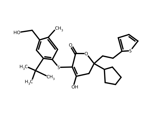 Cc1cc(SC2=C(O)CC(CCc3cccs3)(C3CCCC3)OC2=O)c(C(C)(C)C)cc1CO